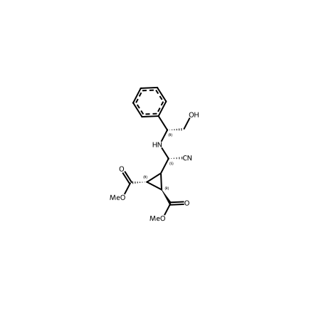 COC(=O)[C@@H]1C([C@@H](C#N)N[C@@H](CO)c2ccccc2)[C@H]1C(=O)OC